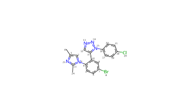 Cc1cn(-c2ccc(Br)cc2-c2cnnn2-c2ccc(Cl)cc2)c(C)n1